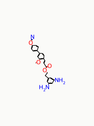 COc1cc(-c2ccc(OC#N)cc2)ccc1/C=C/C(=O)OCCc1cc(N)cc(N)c1